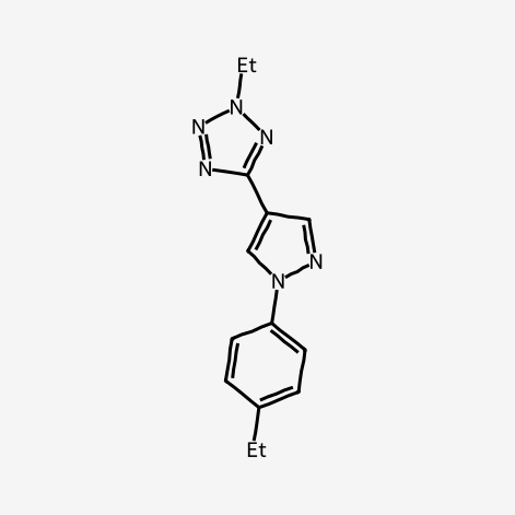 CCc1ccc(-n2cc(-c3nnn(CC)n3)cn2)cc1